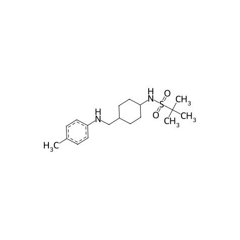 Cc1ccc(NCC2CCC(NS(=O)(=O)C(C)(C)C)CC2)cc1